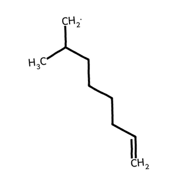 [CH2]C(C)CCCCC=C